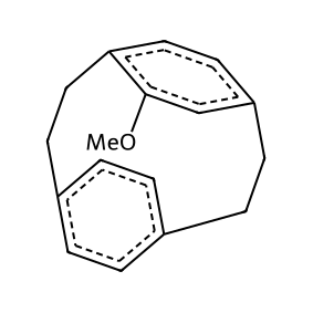 COc1cc2ccc1CCc1ccc(cc1)CC2